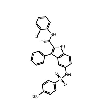 CC(C)(C)c1ccc(S(=O)(=O)Nc2ccc3[nH]c(C(=O)Nc4ccccc4Cl)c(-c4ccccc4)c3c2)cc1